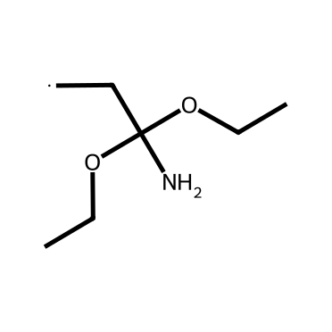 [CH2]CC(N)(OCC)OCC